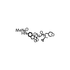 CNC(=O)Nc1ccc2c(c1)CC(=O)[C@]21OCN(CC(=O)N(CC2CCOCC2)[C@@H](C)C2CC2)C1=O